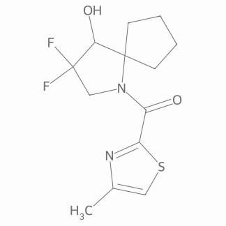 Cc1csc(C(=O)N2CC(F)(F)C(O)C23CCCC3)n1